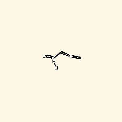 C=C=C[PH](=O)Cl